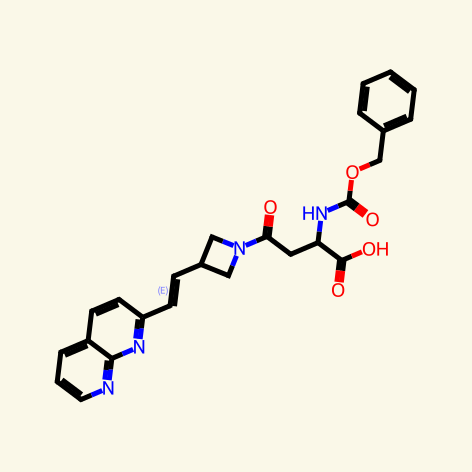 O=C(NC(CC(=O)N1CC(/C=C/c2ccc3cccnc3n2)C1)C(=O)O)OCc1ccccc1